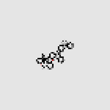 CC(C)c1cccc(C(C)C)c1-n1c(-c2ccc3c(c2)c2ccccc2n3-c2ccc3oc4ccccc4c3c2)nc2ccccc21